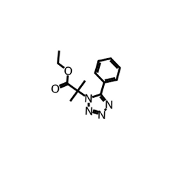 CCOC(=O)C(C)(C)n1nnnc1-c1ccccc1